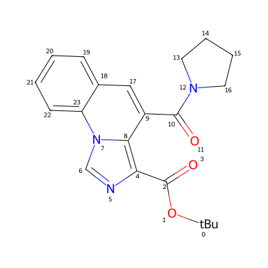 CC(C)(C)OC(=O)c1ncn2c1c(C(=O)N1CCCC1)cc1ccccc12